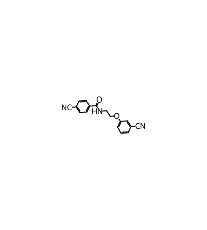 N#Cc1ccc(C(=O)NCCOc2cccc(C#N)c2)cc1